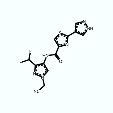 N#CCn1cc(NC(=O)c2csc(-c3cn[nH]c3)n2)c(C(F)F)n1